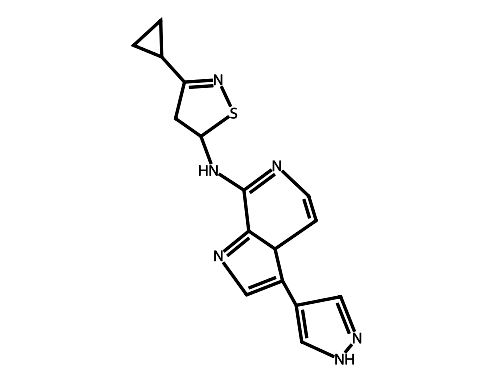 C1=CC2C(c3cn[nH]c3)=CN=C2C(NC2CC(C3CC3)=NS2)=N1